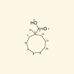 CC1(C(=O)O)CCCCCCCC1